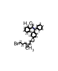 CC/C(=C(\c1ccccc1)c1ccc(OCCN(C)CCCBr)cc1)c1ccccc1